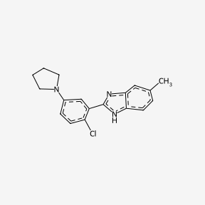 Cc1ccc2[nH]c(-c3cc(N4CCCC4)ccc3Cl)nc2c1